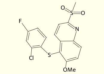 COc1ccc2nc(S(C)(=O)=O)ccc2c1Sc1ccc(F)cc1Cl